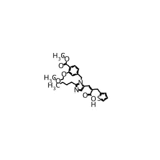 CCCCc1ncc(C=C(Cc2cccs2)C(=O)O)n1Cc1ccc(C(=O)OC)c(OCOC)c1